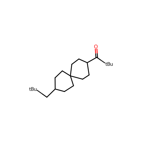 CC(C)(C)CC1CCC2(CC1)CCC(C(=O)C(C)(C)C)CC2